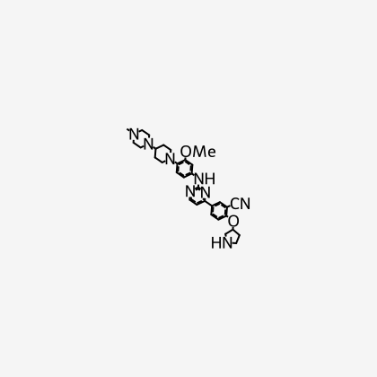 COc1cc(Nc2nccc(-c3ccc(OC4CCNC4)c(C#N)c3)n2)ccc1N1CCC(N2CCN(C)CC2)CC1